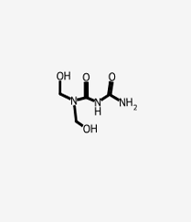 NC(=O)NC(=O)N(CO)CO